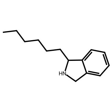 CCCCCCC1NCc2ccccc21